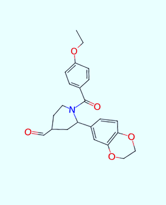 CCOc1ccc(C(=O)N2CCC(C=O)CC2c2ccc3c(c2)OCCO3)cc1